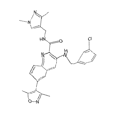 Cc1nn(C)cc1CNC(=O)c1nc2ccc(-c3c(C)noc3C)cc2cc1NCc1cccc(Cl)c1